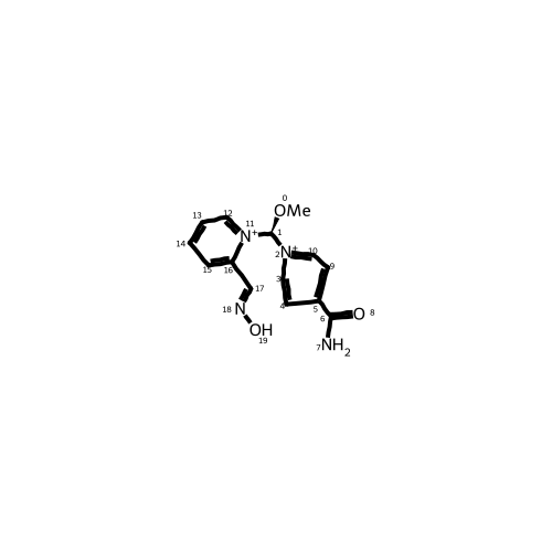 CO[C@@H]([n+]1ccc(C(N)=O)cc1)[n+]1ccccc1C=NO